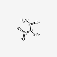 CCCC(C(N)=O)=S(=O)=O